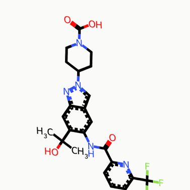 CC(C)(O)c1cc2nn(C3CCN(C(=O)O)CC3)cc2cc1NC(=O)c1cccc(C(F)(F)F)n1